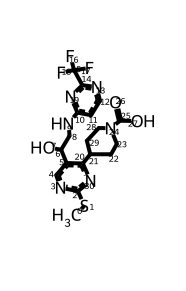 CSc1ncc(C(O)CNc2ccnc(C(F)(F)F)n2)c(C2CCN(C(=O)O)CC2)n1